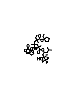 CCC1(OC(=O)C(C)(CC)CC(C)(CC(C)(C)C(=O)OC(CC(C)C)CC(O)(F)C(F)(F)F)C(=O)OC2C3CC4C(=O)OC2C4C3)CCCC1